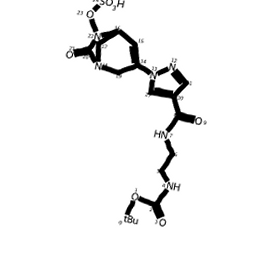 CC(C)(C)OC(=O)NCCNC(=O)c1cnn(C2=CC3CN(C2)C(=O)N3OS(=O)(=O)O)c1